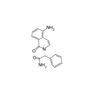 NC(=O)[C@@H](c1ccccc1)n1ccc2c(N)cccc2c1=O